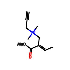 C#CC[N+](C)(C)C/C(=C\C)C(=O)OC